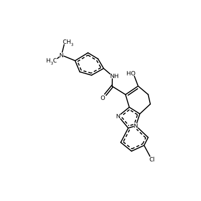 CN(C)c1ccc(NC(=O)C2=C(O)CCc3c2nc2ccc(Cl)cn32)cc1